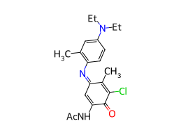 CCN(CC)c1ccc(/N=C2/C=C(NC(C)=O)C(=O)C(Cl)=C2C)c(C)c1